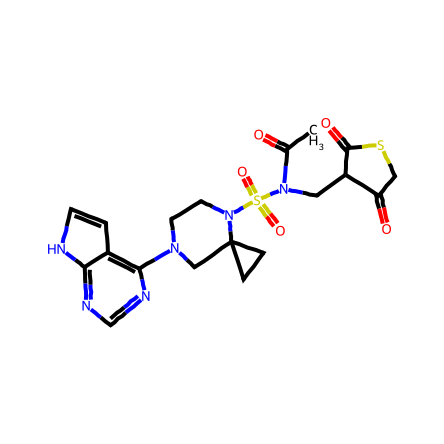 CC(=O)N(CC1C(=O)CSC1=O)S(=O)(=O)N1CCN(c2ncnc3[nH]ccc23)CC12CC2